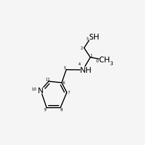 CC(CS)NCc1cccnc1